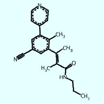 CCCNC(=O)/C(C)=C(\C)c1cc(C#N)cc(-c2ccncc2)c1C